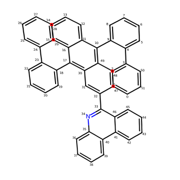 c1ccc(-c2ccccc2-c2c3ccccc3c(-c3ccccc3-c3ccccc3)c3cc(-c4nc5ccccc5c5ccccc45)ccc23)cc1